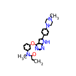 C=CC(=O)N(C)c1cccc(Oc2ncnc3[nH]c(-c4ccc(N5CCN(C)CC5)cc4)cc23)c1